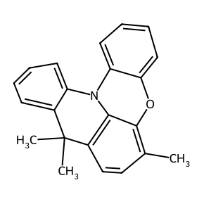 Cc1ccc2c3c1Oc1ccccc1N3c1ccccc1C2(C)C